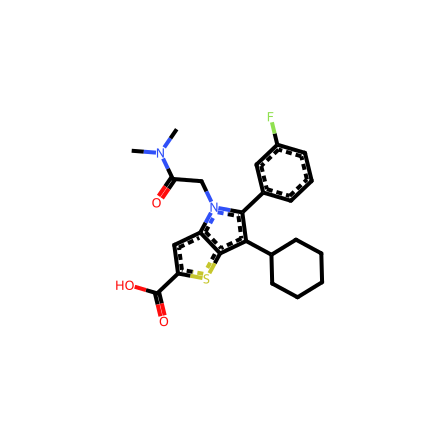 CN(C)C(=O)Cn1c(-c2cccc(F)c2)c(C2CCCCC2)c2sc(C(=O)O)cc21